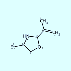 C=C(C)C1NC(CC)CO1